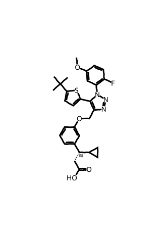 COc1ccc(F)c(-n2nnc(COc3cccc([C@@H](CC(=O)O)C4CC4)c3)c2-c2ccc(C(C)(C)C)s2)c1